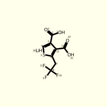 O=C(O)c1csc(CC(F)(F)F)c1C(=O)O.[LiH]